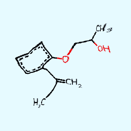 C=C(C)c1ccccc1OCC(C)O